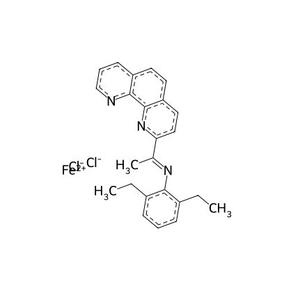 CCc1cccc(CC)c1/N=C(\C)c1ccc2ccc3cccnc3c2n1.[Cl-].[Cl-].[Fe+2]